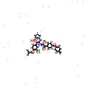 O=C(NC(CN1CCCC1)C(O)c1ccc(OC2CC2)c(Cl)c1)C(=O)c1ccc(Oc2ccc(F)cc2)cc1